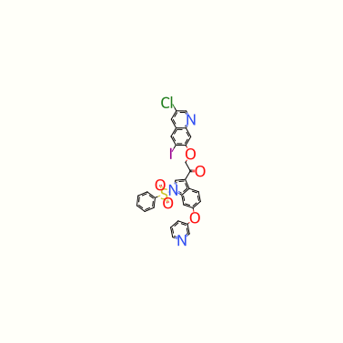 O=C(COc1cc2ncc(Cl)cc2cc1I)c1cn(S(=O)(=O)c2ccccc2)c2cc(Oc3cccnc3)ccc12